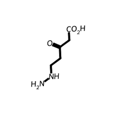 NNCCC(=O)CC(=O)O